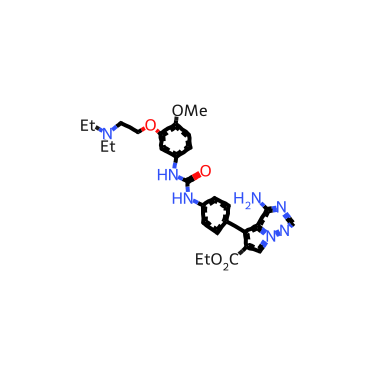 CCOC(=O)c1cn2ncnc(N)c2c1-c1ccc(NC(=O)Nc2ccc(OC)c(OCCN(CC)CC)c2)cc1